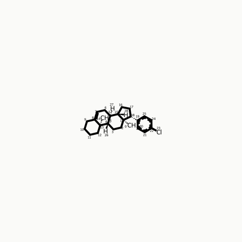 C[C@]12CC[C@H]3[C@@H](CC=C4CCCC[C@@]43C)[C@@H]1CC[C@@H]2c1ccc(Cl)cc1